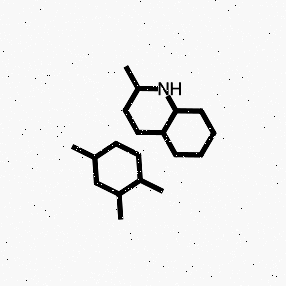 CC1CCC(C)C(C)C1.CC1CCC2CCCCC2N1